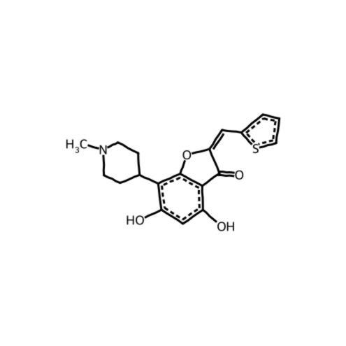 CN1CCC(c2c(O)cc(O)c3c2O/C(=C/c2cccs2)C3=O)CC1